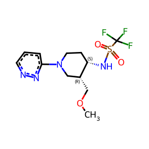 COC[C@@H]1CN(c2cccnn2)CC[C@@H]1NS(=O)(=O)C(F)(F)F